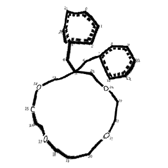 c1ccc(CC2(Cc3ccccc3)COCCOCCCOCCOC2)cc1